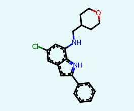 Clc1cc(NCC2CCOCC2)c2[nH]c(-c3ccccc3)cc2c1